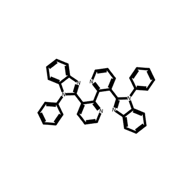 c1ccc(-n2c(-c3cccnc3-c3ncccc3-c3nc4ccccc4n3-c3ccccc3)nc3ccccc32)cc1